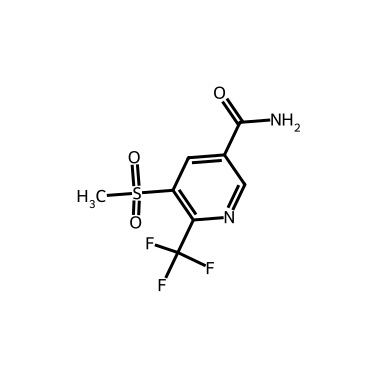 CS(=O)(=O)c1cc(C(N)=O)cnc1C(F)(F)F